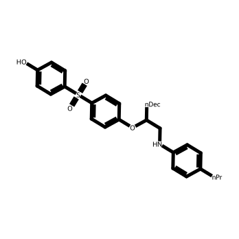 [CH2]CCc1ccc(NCC(CCCCCCCCCC)Oc2ccc(S(=O)(=O)c3ccc(O)cc3)cc2)cc1